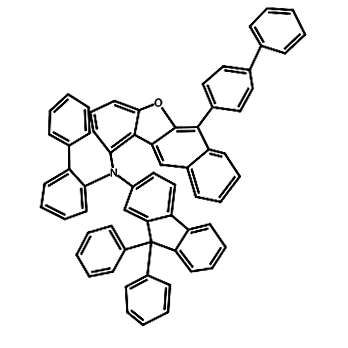 c1ccc(-c2ccc(-c3c4ccccc4cc4c3oc3cccc(N(c5ccc6c(c5)C(c5ccccc5)(c5ccccc5)c5ccccc5-6)c5ccccc5-c5ccccc5)c34)cc2)cc1